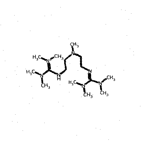 CN(CCN=C(N(C)C)N(C)C)CCNC(N(C)C)=[N+](C)C